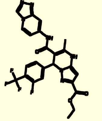 CCOC(=O)c1cc2n(n1)C(c1ccc(C(F)(F)F)c(F)c1)C(C(=O)Nc1ccn3cnnc3c1)=C(C)N2